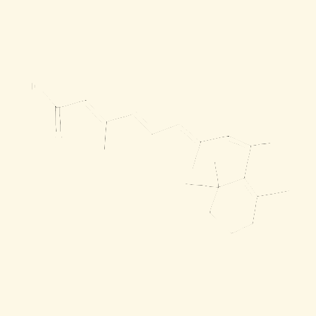 CC1=C(\C(C)=C/C(C)=C/C=C/C(C)=C/C(=O)O)C(C)(C)CCC1